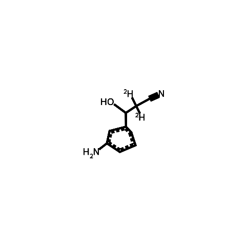 [2H]C([2H])(C#N)C(O)c1cccc(N)c1